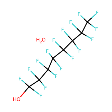 O.OC(F)(F)C(F)(F)C(F)(F)C(F)(F)C(F)(F)C(F)(F)C(F)(F)C(F)(F)F